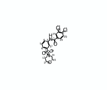 O=C(Nc1cccc(S(=O)(=O)N2CCOCC2)c1)c1ccc(Cl)c(Cl)c1